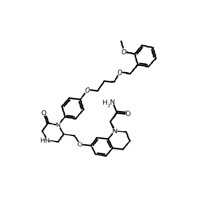 COc1ccccc1COCCCOc1ccc(N2C(=O)CNCC2COc2ccc3c(c2)N(CC(N)=O)CCC3)cc1